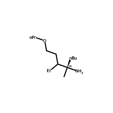 CCCC[C@](C)(N)C(CC)CCOCCC